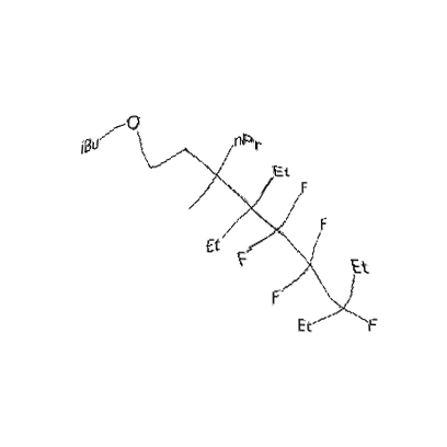 CCCC(C)(CCOC(C)CC)C(CC)(CC)C(F)(F)C(F)(F)C(F)(CC)CC